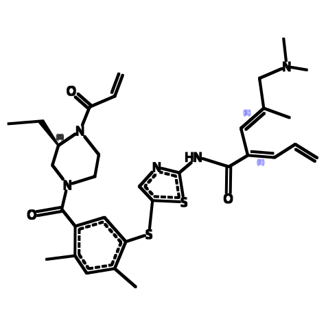 C=C/C=C(\C=C(/C)CN(C)C)C(=O)Nc1ncc(Sc2cc(C(=O)N3CCN(C(=O)C=C)[C@H](CC)C3)c(C)cc2C)s1